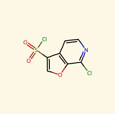 O=S(=O)(Cl)c1coc2c(Cl)nccc12